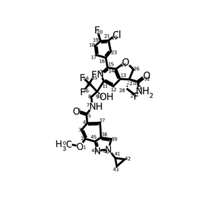 COc1cc(C(=O)NC[C@](O)(c2cc3c(c(-c4ccc(F)c(Cl)c4)n2)OC[C@@]3(CF)C(N)=O)C(F)(F)F)cc2cn(C3CC3)nc12